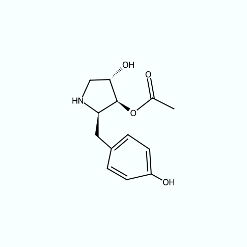 CC(=O)O[C@@H]1[C@@H](O)CN[C@@H]1Cc1ccc(O)cc1